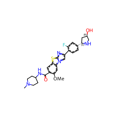 COc1cc2c(cc1C(=O)NC1CCN(C)CC1)sc1nc(-c3ccc([C@@H]4C[C@@H](O)CN4)cc3F)cn12